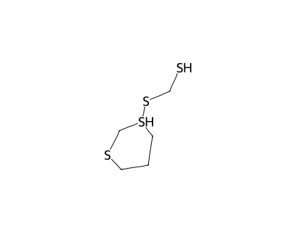 SCS[SH]1CCCSC1